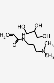 C=CC(=O)NCCCN(C)C.OCC(O)CO